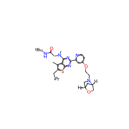 Cc1c(CC(C)C)sc2nc(-c3cc(OCCN4C[C@@H]5C[C@H]4CO5)ccn3)nc(N(C)CC(=O)NC(C)(C)C)c12